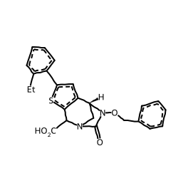 CCc1ccccc1-c1cc2c(s1)C(C(=O)O)N1C[C@H]2N(OCc2ccccc2)C1=O